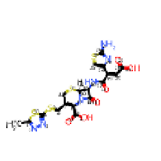 Cc1nnc(SCC2=C(C(=O)O)N3C(=O)C(NC(=O)C(=CC(=O)O)c4csc(N)n4)[C@@H]3SC2)s1